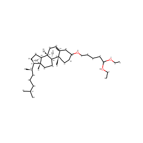 CCOC(CCCCOC1CC[C@@]2(C)C(=CC[C@H]3[C@@H]4CC[C@H]([C@H](C)CCCC(C)C)[C@@]4(C)CC[C@@H]32)C1)OCC